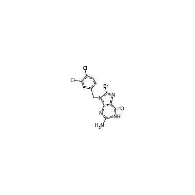 Nc1nc2c(nc(Br)n2Cc2ccc(Cl)c(Cl)c2)c(=O)[nH]1